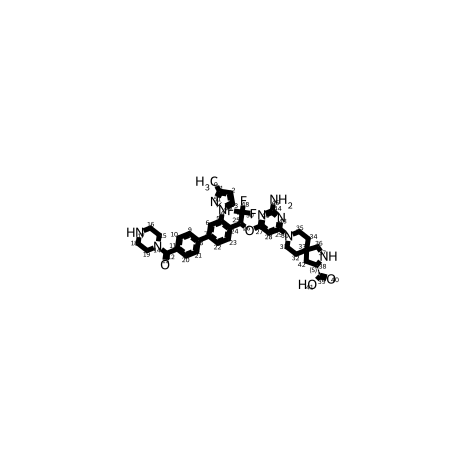 Cc1ccn(-c2cc(-c3ccc(C(=O)N4CCNCC4)cc3)ccc2C(Oc2cc(N3CCC4(CC3)CN[C@H](C(=O)O)C4)nc(N)n2)C(F)(F)F)n1